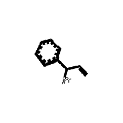 C=CC(c1ccccc1)C(C)C